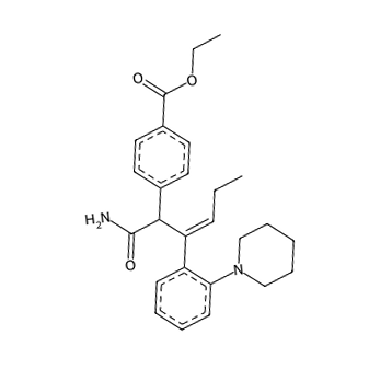 CCC=C(c1ccccc1N1CCCCC1)C(C(N)=O)c1ccc(C(=O)OCC)cc1